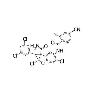 Cc1cc(C#N)ccc1C(=O)Nc1cc(C2(C(N)=O)C(c3cc(Cl)cc(Cl)c3)C2(Cl)Cl)ccc1Cl